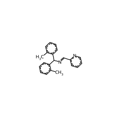 Cc1ccccc1C(/N=C/c1ccccn1)c1ccccc1C